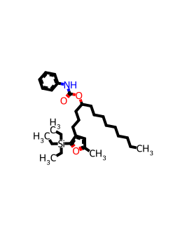 CCCCCCCCCC(CCCc1cc(C)oc1[Si](CC)(CC)CC)OC(=O)Nc1ccccc1